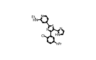 CCCc1ccc(Cl)c(-c2nc(-c3ccnc(NCC)c3)sc2-c2ncc[nH]2)c1